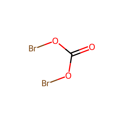 O=C(OBr)OBr